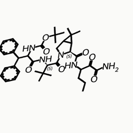 CCCC(NC(=O)[C@@H]1C2C(CN1C(=O)[C@@H](NC(=O)C(NC(=O)OC(C)(C)C)C(c1ccccc1)c1ccccc1)C(C)(C)C)C2(C)C)C(=O)C(N)=O